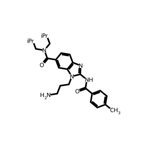 Cc1ccc(C(=O)Nc2nc3ccc(C(=O)N(CC(C)C)CC(C)C)cc3n2CCCN)cc1